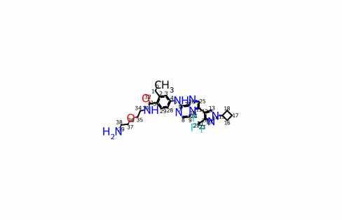 CCc1cc(Nc2nccn3c(-c4cn(C5CCC5)nc4C(F)(F)F)cnc23)ccc1C(=O)NCCOCCN